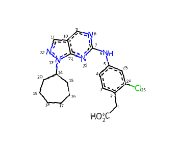 O=C(O)Cc1ccc(Nc2ncc3cnn(C4CCCCCC4)c3n2)cc1Cl